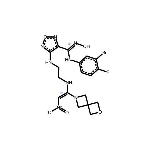 O=[N+]([O-])/C=C(/NCCNc1nonc1/C(=N/O)Nc1ccc(F)c(Br)c1)N1CC2(COC2)C1